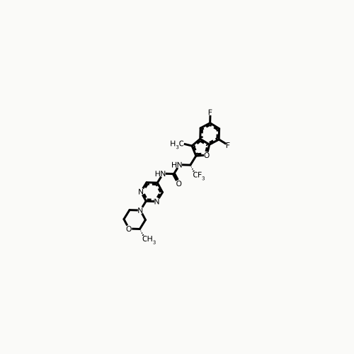 Cc1c([C@@H](NC(=O)Nc2cnc(N3CCO[C@@H](C)C3)nc2)C(F)(F)F)oc2c(F)cc(F)cc12